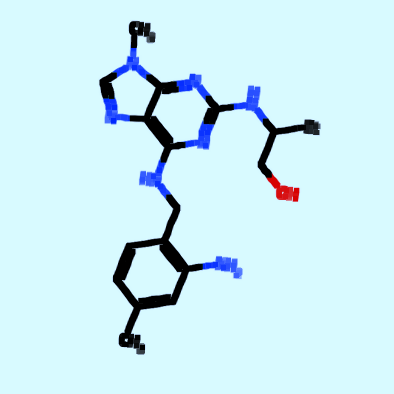 CCC(CO)Nc1nc(NCc2ccc(C)cc2N)c2ncn(C)c2n1